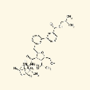 CC(C)CNC(=O)c1cccc(-c2cccc(CN3O[C@@H](CO)[C@@H]([C@H](C)O)[C@H]3C(=O)N[C@H]3C[C@H]4C[C@@H]([C@@H]3C)C4(C)C)c2)c1